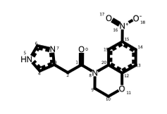 O=C(Cc1c[nH]cn1)N1CCOc2ccc([N+](=O)[O-])cc21